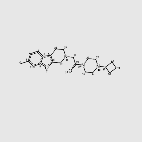 Cc1ccc2c3c(oc2n1)CN(CC(=O)N1CCN(C2CCC2)CC1)CC3